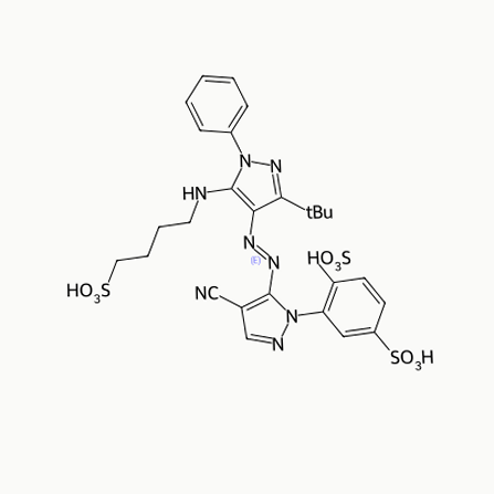 CC(C)(C)c1nn(-c2ccccc2)c(NCCCCS(=O)(=O)O)c1/N=N/c1c(C#N)cnn1-c1cc(S(=O)(=O)O)ccc1S(=O)(=O)O